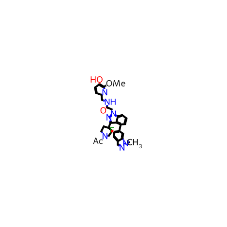 COc1nc(CNC(=O)Cn2nc(C3CCN(C(C)=O)CC3)c3c(-c4cc5c(cnn5C)cc4F)cccc32)ccc1O